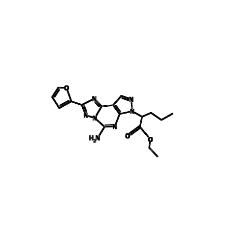 CCCC(C(=O)OCC)n1ncc2c1nc(N)n1nc(-c3ccco3)nc21